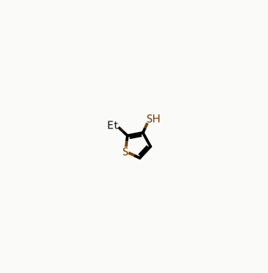 CCc1sccc1S